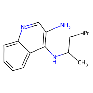 CC(C)CC(C)Nc1c(N)cnc2ccccc12